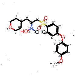 O=CN(O)C(CC1CCOCC1)CS(=O)(=O)c1ccc(Oc2ccc(OC(F)(F)F)cc2)cc1